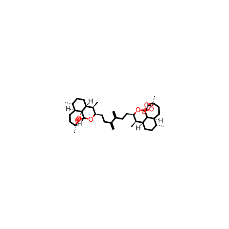 C=C(CC[C@H]1O[C@@H]2O[C@]3(C)CC[C@H]4[C@H](C)CC[C@@H]([C@H]1C)[C@@]24OO3)C(=C)CC[C@H]1O[C@@H]2O[C@]3(C)CC[C@H]4[C@H](C)CC[C@@H]([C@H]1C)[C@@]24OO3